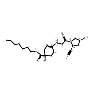 CCCCCCCNC(=O)C1(C)CC=C(NCC(=O)N2C[C@@H](F)C[C@H]2C#N)CC1